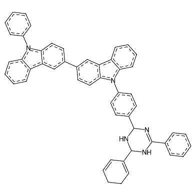 C1=CC(C2NC(c3ccccc3)=NC(c3ccc(-n4c5ccccc5c5cc(-c6ccc7c(c6)c6ccccc6n7-c6ccccc6)ccc54)cc3)N2)=CCC1